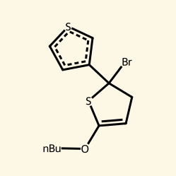 CCCCOC1=CCC(Br)(c2ccsc2)S1